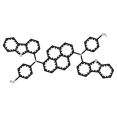 Cc1ccc(N(c2ccc3ccc4c(N(c5ccc(C)cc5)c5cccc6c5oc5ccccc56)ccc5ccc2c3c54)c2cccc3c2oc2ccccc23)cc1